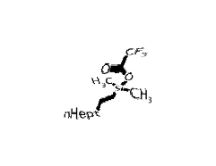 CCCCCCCCC[Si](C)(C)OC(=O)C(F)(F)F